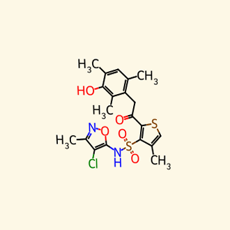 Cc1cc(C)c(CC(=O)c2scc(C)c2S(=O)(=O)Nc2onc(C)c2Cl)c(C)c1O